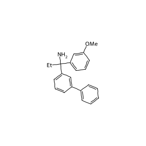 CCC(N)(c1cccc(OC)c1)c1cccc(-c2ccccc2)c1